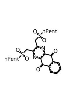 CCCCCS(=O)(=O)Cc1nc2c(nc1CS(=O)(=O)CCCCC)C(=O)c1ccccc1C2=O